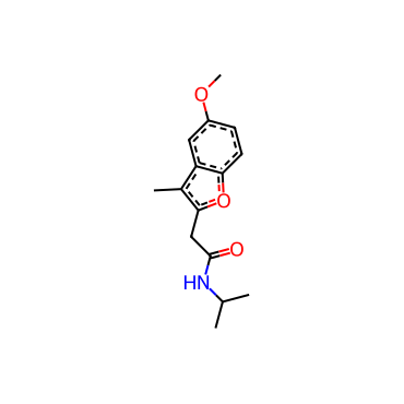 COc1ccc2oc(CC(=O)NC(C)C)c(C)c2c1